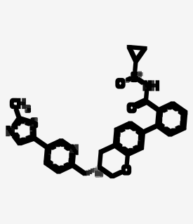 Cc1ncc(-c2ccc(C[C@H]3COc4cc(-c5ccccc5C(=O)N[S+]([O-])C5CC5)ccc4C3)nc2)s1